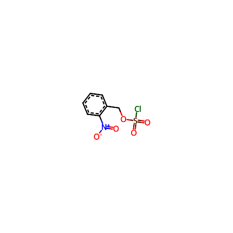 O=[N+]([O-])c1ccccc1COS(=O)(=O)Cl